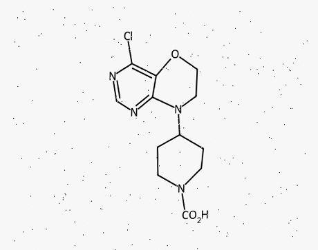 O=C(O)N1CCC(N2CCOc3c(Cl)ncnc32)CC1